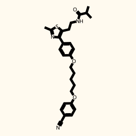 Cc1nc(-c2ccc(OCCCCCOc3ccc(C#N)cc3)cc2)c(CCNC(=O)C(C)C)s1